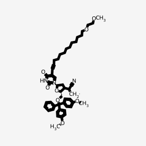 [CH2]C(C#N)C1C[C@@H](n2cc(C#CCCCCCCCCCCCOCCOC)c(=O)[nH]c2=O)O[C@H]1COC(c1ccccc1)(c1ccc(OC)cc1)c1ccc(OC)cc1